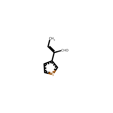 CC=C([C]=O)c1ccsc1